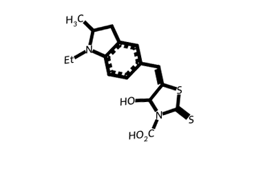 CCN1c2ccc(/C=C3/SC(=S)N(C(=O)O)C3O)cc2CC1C